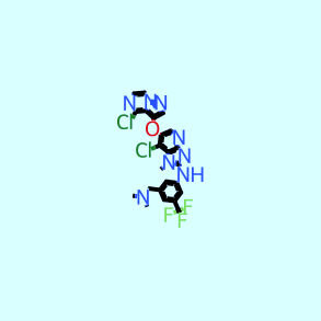 CN(C)Cc1cc(Nc2nc3ncc(Oc4cnn5ccnc(Cl)c45)c(Cl)c3n2C)cc(C(F)(F)F)c1